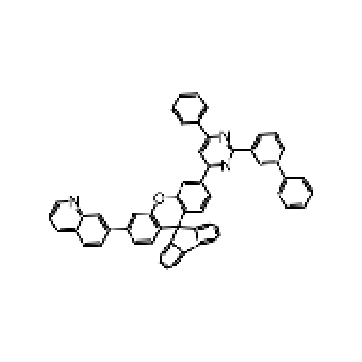 c1ccc(-c2cccc(-c3nc(-c4ccccc4)cc(-c4ccc5c(c4)Oc4cc(-c6ccc7cccnc7c6)ccc4C54c5ccccc5-c5ccccc54)n3)c2)cc1